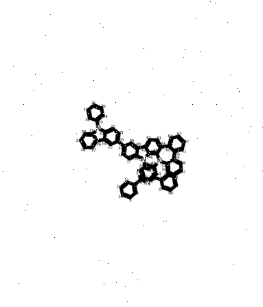 c1ccc(-c2nc(-c3ccccc3)nc(-n3c4ccc(-c5ccc6c(c5)c5ccccc5n6-c5ccccc5)cc4c4ccc5c(c43)N(c3ccccc3)c3ccccc3-c3ccccc3-5)n2)cc1